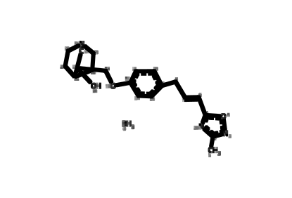 B.Cc1noc(/C=C/Cc2ccc(OCC3(O)CN4CCC3CC4)cc2)n1